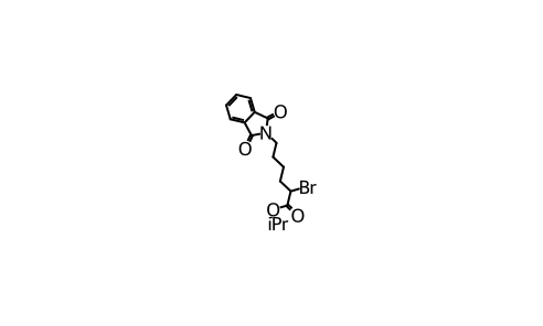 CC(C)OC(=O)C(Br)CCCCN1C(=O)c2ccccc2C1=O